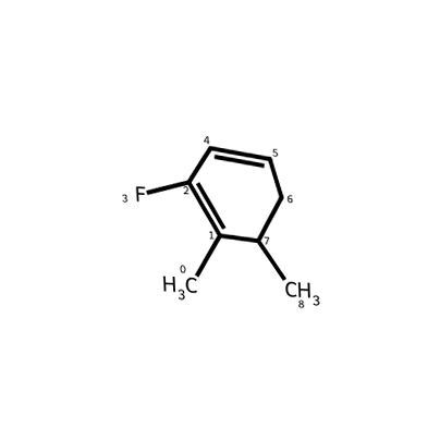 CC1=C(F)C=CCC1C